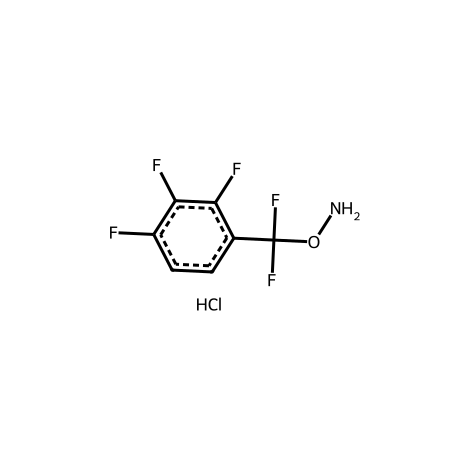 Cl.NOC(F)(F)c1ccc(F)c(F)c1F